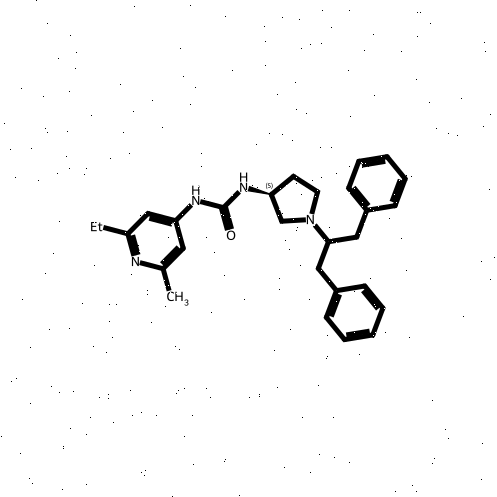 CCc1cc(NC(=O)N[C@H]2CCN(C(Cc3ccccc3)Cc3ccccc3)C2)cc(C)n1